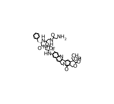 CC[C@@]1(O)C(=O)OCc2c1cc1n(c2=O)Cc2cc3cc(NC(=O)CNC(=O)[C@H](Cc4ccccc4)NC(=O)CNC(=O)CN)c(F)cc3nc2-1